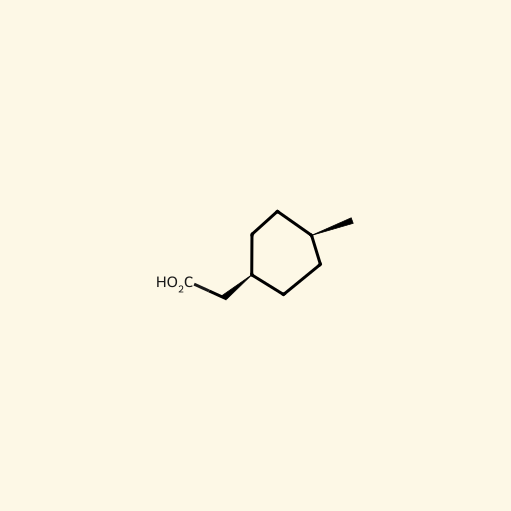 C[C@H]1CC[C@@H](CC(=O)O)CC1